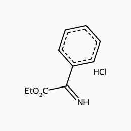 CCOC(=O)C(=N)c1ccccc1.Cl